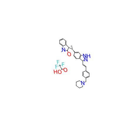 CN1C(=O)[C@@]2(C[C@H]2c2ccc3c(C=Cc4ccc(CN5CCCCC5)cc4)n[nH]c3c2)c2ccccc21.O=C(O)C(F)(F)F